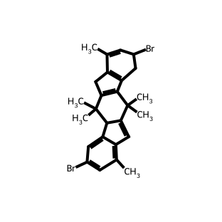 CC1=CC(Br)CC2=C1CC1=C2C(C)(C)C2=Cc3c(C)cc(Br)cc3C2C1(C)C